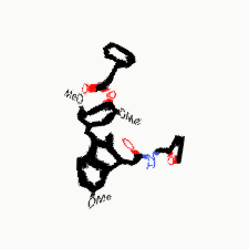 COc1ccc2c(c1)C(CC(=O)NCc1ccco1)=C(C)C2=Cc1cc(OC)c(OC(=O)c2ccccc2)c(OC)c1